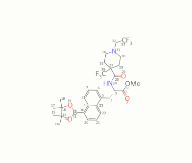 COC(=O)[C@H](Cc1cccc2c(B3OC(C)(C)C(C)(C)O3)cccc12)NC(=O)C1(C(F)(F)F)CCN(CC(F)(F)F)CC1